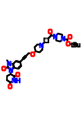 Cn1c(=O)n([C@@H]2CCC(=O)NC2=O)c2ccc(C#CCOC3CCN(C4CC(C(=O)N5CCN(C(=O)OC(C)(C)C)CC5)C4)CC3)cc21